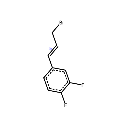 Fc1ccc(/C=C/CBr)cc1F